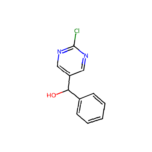 OC(c1ccccc1)c1cnc(Cl)nc1